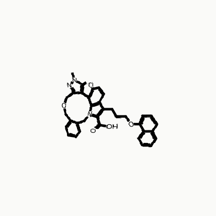 Cc1c2c(nn1C)COCc1ccccc1Cn1c(C(=O)O)c(CCCOc3cccc4ccccc34)c3ccc(Cl)c-2c31